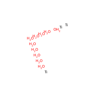 O.O.O.O.O.O.O.O.O.O.[Ti].[Ti].[Ti]